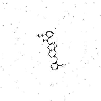 Nc1ccccc1NC(=O)CN1CCN(Cc2ccccc2Cl)CC1=O